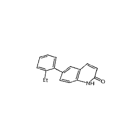 CCc1ccccc1-c1ccc2[nH]c(=O)ccc2c1